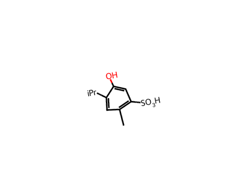 Cc1cc(C(C)C)c(O)cc1S(=O)(=O)O